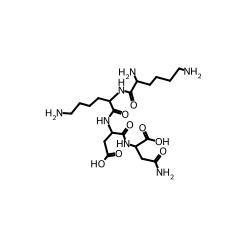 NCCCCC(N)C(=O)NC(CCCCN)C(=O)NC(CC(=O)O)C(=O)NC(CC(N)=O)C(=O)O